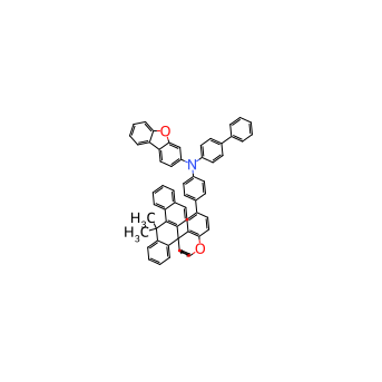 CC1(C)c2ccccc2C2(c3ccccc3Oc3ccc(-c4ccc(N(c5ccc(-c6ccccc6)cc5)c5ccc6c(c5)oc5ccccc56)cc4)cc32)c2ccc3ccccc3c21